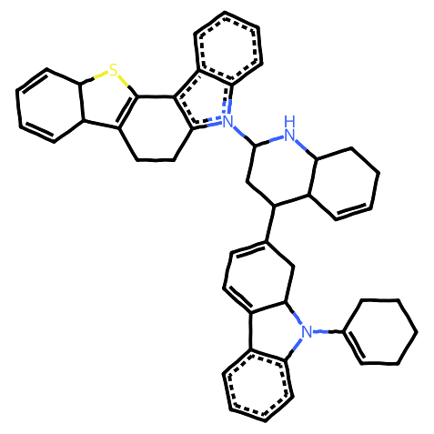 C1=CC2SC3=C(CCc4c3c3ccccc3n4C3CC(C4=CC=C5c6ccccc6N(C6=CCCCC6)C5C4)C4C=CCCC4N3)C2C=C1